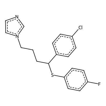 Fc1ccc(SC(CCCn2ccnc2)c2ccc(Cl)cc2)cc1